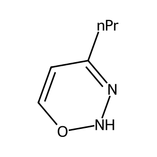 CCCC1=NNOC=C1